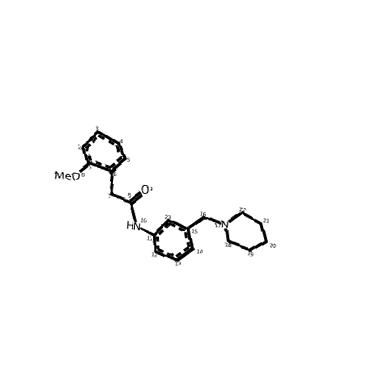 COc1ccccc1CC(=O)Nc1cccc(CN2CCCCC2)c1